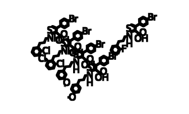 COc1ccc(CCCNc2scc(-c3ccc(Br)cc3)c2C(=O)O)cc1.COc1cccc(CCCNc2scc(-c3ccc(Br)cc3)c2C(=O)O)c1.O=C(O)c1c(-c2ccc(Br)cc2)csc1NCCCc1c(Cl)cccc1Cl.O=C(O)c1c(-c2ccc(Br)cc2)csc1NCCCc1ccccc1Cl.O=C(O)c1c(-c2ccc(Br)cc2)csc1NCCCc1ccccc1F